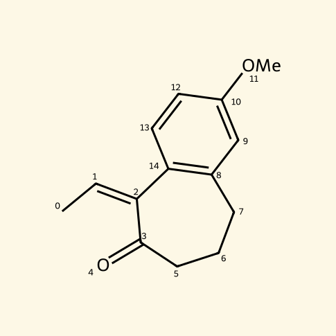 CC=C1C(=O)CCCc2cc(OC)ccc21